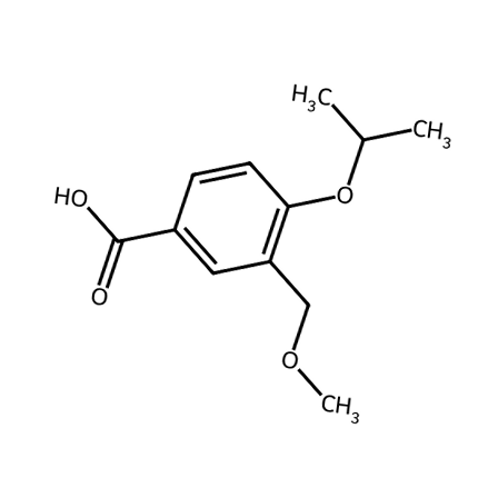 COCc1cc(C(=O)O)ccc1OC(C)C